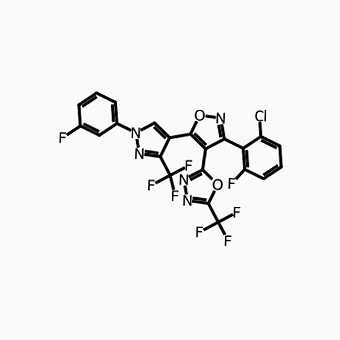 Fc1cccc(-n2cc(-c3onc(-c4c(F)cccc4Cl)c3-c3nnc(C(F)(F)F)o3)c(C(F)(F)F)n2)c1